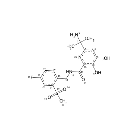 CC(C)(N)c1nc(O)c(O)c(C(=O)NCc2ccc(F)cc2S(C)(=O)=O)n1